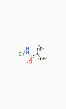 CCCC(CCC)C(=O)NCl